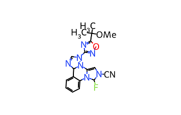 COC(C)(C)c1nc(N2C=NC3c4ccccc4N4C(=CN(C#N)C4F)N32)no1